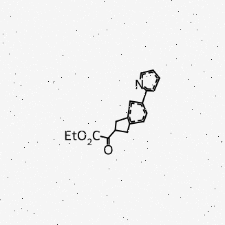 CCOC(=O)C(=O)C1Cc2ccc(-c3ccccn3)cc2C1